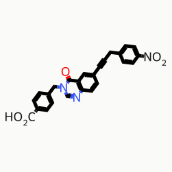 O=C(O)c1ccc(Cn2cnc3ccc(C#CCc4ccc([N+](=O)[O-])cc4)cc3c2=O)cc1